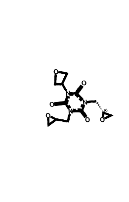 O=c1n(CC2CO2)c(=O)n(C2COC2)c(=O)n1C[C@@H]1CO1